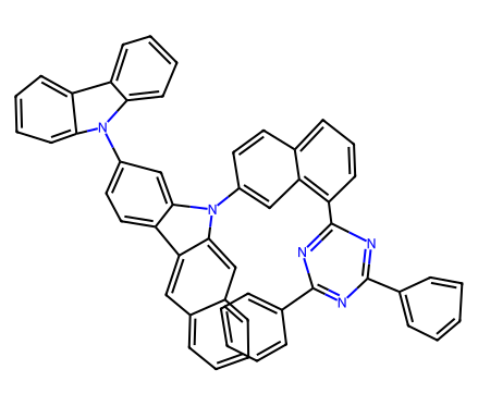 c1ccc(-c2nc(-c3ccccc3)nc(-c3cccc4ccc(-n5c6cc(-n7c8ccccc8c8ccccc87)ccc6c6cc7ccccc7cc65)cc34)n2)cc1